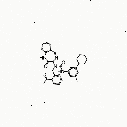 CC(=O)c1cccnc1CN(C(=O)Nc1cc(C)cc(C2CCCCC2)c1)C1N=Cc2ccccc2NC1=O